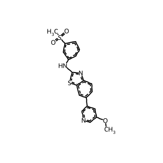 COc1cncc(-c2ccc3nc(Nc4cccc(S(C)(=O)=O)c4)sc3c2)c1